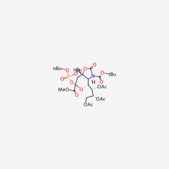 CCCCOP(=O)(OCCCC)O[C@]1(C(=O)OC)C[C@@H]2OC(=O)N(C(=O)OC(C)(C)C)[C@H]2[C@H]([C@H](OC(C)=O)[C@@H](COC(C)=O)OC(C)=O)O1